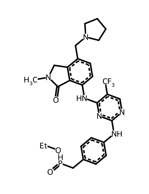 CCO[PH](=O)Cc1ccc(Nc2ncc(C(F)(F)F)c(Nc3ccc(CN4CCCC4)c4c3C(=O)N(C)C4)n2)cc1